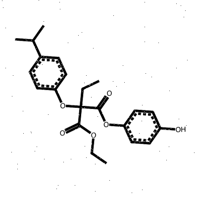 CCOC(=O)C(CC)(Oc1ccc(C(C)C)cc1)C(=O)Oc1ccc(O)cc1